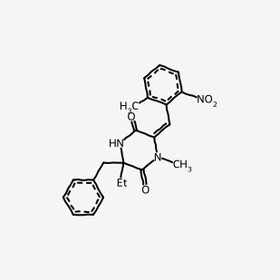 CCC1(Cc2ccccc2)NC(=O)C(=Cc2c(C)cccc2[N+](=O)[O-])N(C)C1=O